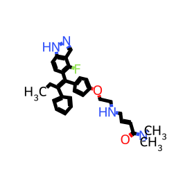 CC/C(=C(/c1ccc(OCCNC/C=C/C(=O)N(C)C)cc1)c1ccc2[nH]ncc2c1F)c1ccccc1